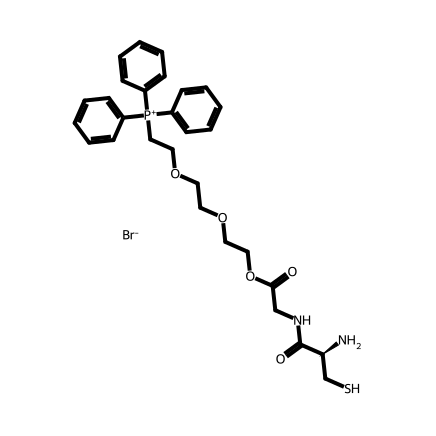 N[C@@H](CS)C(=O)NCC(=O)OCCOCCOCC[P+](c1ccccc1)(c1ccccc1)c1ccccc1.[Br-]